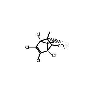 COC1(OC)[C@@]2(Cl)C(Cl)=C(Cl)[C@]1(Cl)C(C(=O)O)C2C